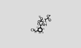 COC(=O)CC[C@H](NC(=O)c1cccc(CCl)c1)C(=O)OC